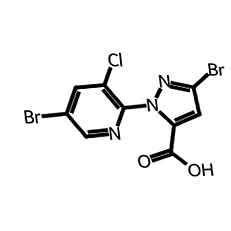 O=C(O)c1cc(Br)nn1-c1ncc(Br)cc1Cl